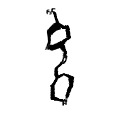 FC(F)(F)c1ccc(OCC2CCNCC2)nc1